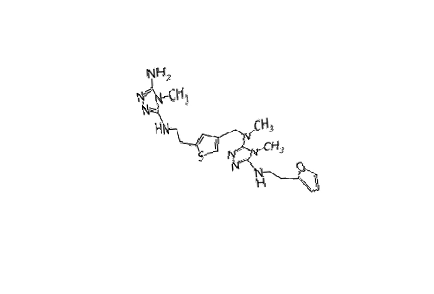 CN(Cc1csc(CCNc2nnc(N)n2C)c1)c1nnc(NCCc2ccco2)n1C